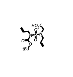 C=CCN(CC(=O)O)S(=O)(=O)N(CC=C)C(=O)OC(C)(C)C